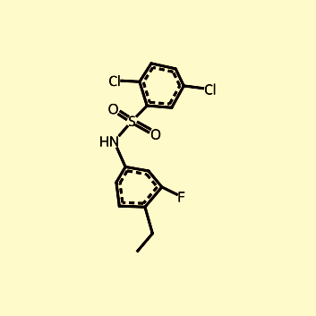 CCc1ccc(NS(=O)(=O)c2cc(Cl)ccc2Cl)cc1F